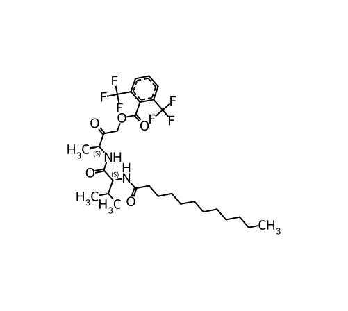 CCCCCCCCCCCC(=O)N[C@H](C(=O)N[C@@H](C)C(=O)COC(=O)c1c(C(F)(F)F)cccc1C(F)(F)F)C(C)C